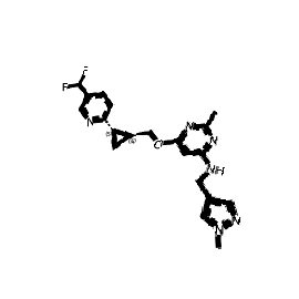 Cc1nc(NCc2cnn(C)c2)cc(OC[C@H]2C[C@@H]2c2ccc(C(F)F)cn2)n1